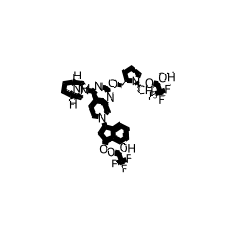 CN1CCC[C@H]1COc1nc2c(c(N3C[C@H]4CC[C@@H](C3)N4)n1)CCN(C1CC(=O)c3ccccc31)C2.O=C(O)C(F)(F)F.O=C(O)C(F)(F)F